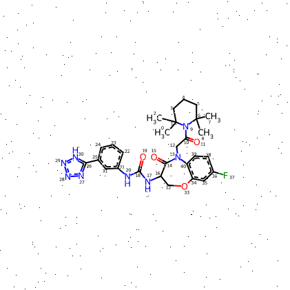 CC1(C)CCCC(C)(C)N1C(=O)CN1C(=O)C(NC(=O)Nc2cccc(-c3nnn[nH]3)c2)COc2cc(F)ccc21